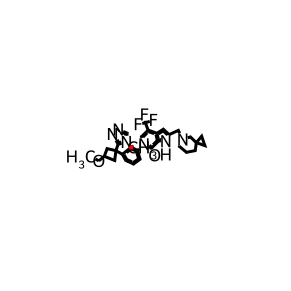 COC1CC(c2cccc(-n3cc(C(F)(F)F)c4cc(CN5CCCC6(CC6)C5)[nH]c4c3=O)c2)(c2nncn2C)C1